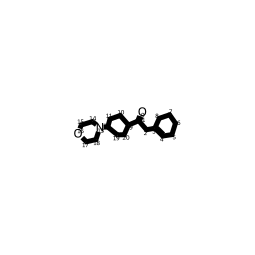 O=C(CC1=CCCCC1)C1CCC(N2CCOCC2)CC1